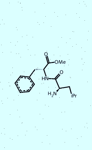 COC(=O)[C@@H](Cc1ccccc1)NC(=O)[C@H](N)CC(C)C